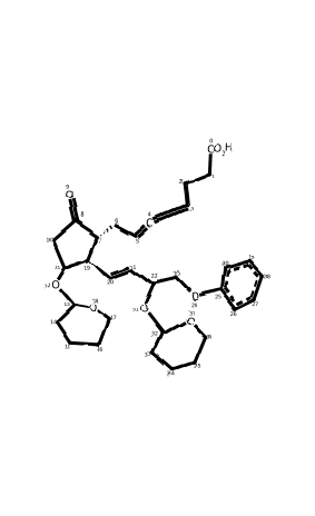 O=C(O)CCC=C=CC[C@H]1C(=O)CC(OC2CCCCO2)[C@@H]1/C=C/C(COc1ccccc1)OC1CCCCO1